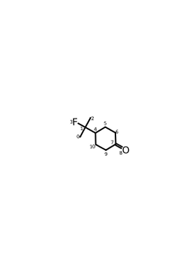 CC(C)(F)C1CCC(=O)CC1